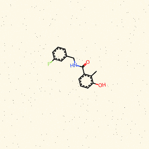 Cc1c(O)cccc1C(=O)NCc1cccc(F)c1